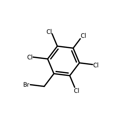 Clc1c(Cl)c(Cl)c(CBr)c(Cl)c1Cl